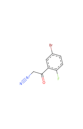 N#[N+]CC(=O)c1cc(Br)ccc1F